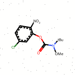 CON(C(=O)Oc1cc(Cl)ccc1[N+](=O)[O-])C(C)(C)C